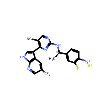 C[C@@H](Nc1ncc(C#N)c(-c2c[nH]c3ncc(C(F)(F)F)cc23)n1)c1ccc(NS)c(F)c1